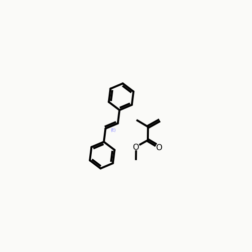 C(=C\c1ccccc1)/c1ccccc1.C=C(C)C(=O)OC